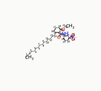 CCCCCCCCCCCCCCCc1cccc(OCC)c1C(=O)Nc1cccc([N+](=O)[O-])c1